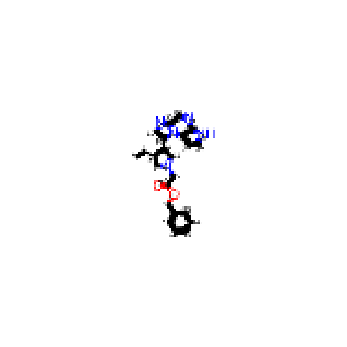 CC[C@@H]1CN(CC(=O)OCc2ccccc2)C[C@@H]1c1cnc2cnc3[nH]ccc3n12